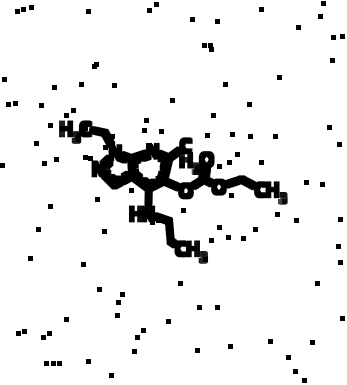 CCCNc1c(OC(=O)OCC)c(C)nc2c1cnn2CC